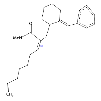 C=CCCCC/C=C(/CC1CCCCC1=Cc1ccccc1)C(=O)NC